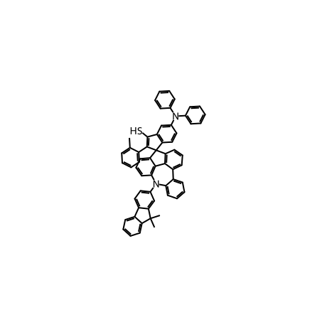 Cc1ccccc1C1=C(S)c2cc(N(c3ccccc3)c3ccccc3)ccc2C12c1cccc3c1-c1c(cccc12)N(c1ccc2c(c1)C(C)(C)c1ccccc1-2)c1ccccc1-3